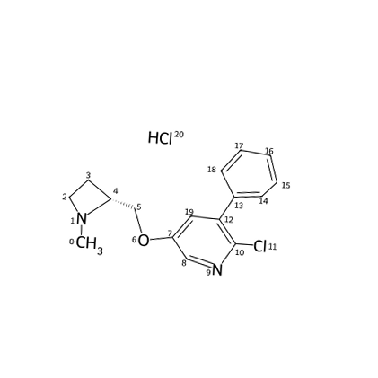 CN1CC[C@@H]1COc1cnc(Cl)c(-c2ccccc2)c1.Cl